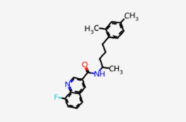 Cc1ccc(CCCC(C)NC(=O)c2cnc3c(F)cccc3c2)c(C)c1